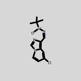 CC(C)(C)[S+]([O-])/N=C\c1ncn2ccc(Cl)cc12